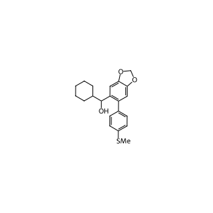 CSc1ccc(-c2cc3c(cc2C(O)C2CCCCC2)OCO3)cc1